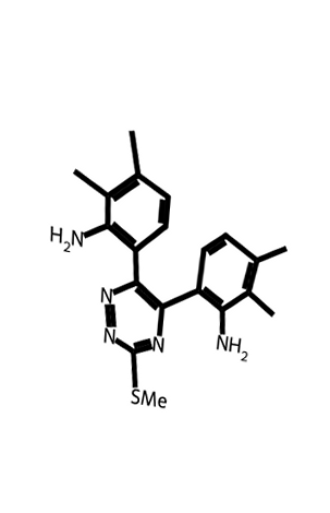 CSc1nnc(-c2ccc(C)c(C)c2N)c(-c2ccc(C)c(C)c2N)n1